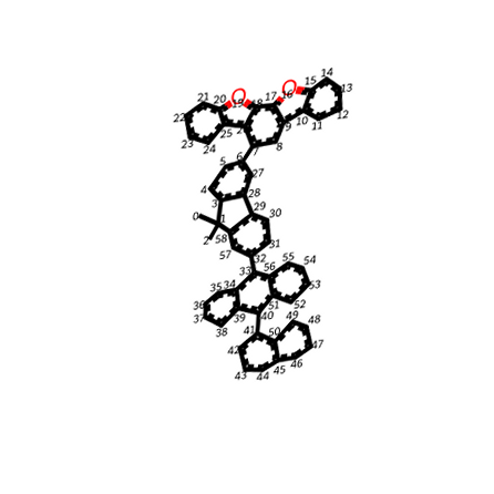 CC1(C)c2ccc(-c3cc4c5ccccc5oc4c4oc5ccccc5c34)cc2-c2ccc(-c3c4ccccc4c(-c4cccc5ccccc45)c4ccccc34)cc21